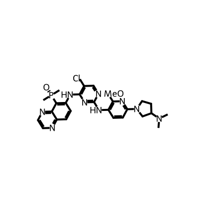 COc1nc(N2CCC(N(C)C)C2)ccc1Nc1ncc(Cl)c(Nc2ccc3nccnc3c2P(C)(C)=O)n1